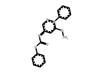 COc1c/c(=N\C(=O)Oc2ccccc2)cnn1-c1ccccc1